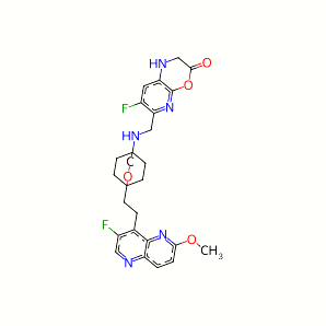 COc1ccc2ncc(F)c(CCC34CCC(NCc5nc6c(cc5F)NCC(=O)O6)(CC3)CO4)c2n1